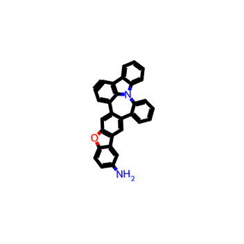 Nc1ccc2oc3cc4c(cc3c2c1)-c1ccccc1-n1c2ccccc2c2c#ccc-4c21